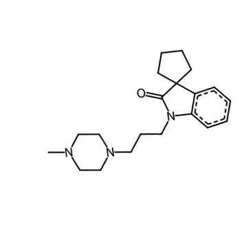 CN1CCN(CCCN2C(=O)C3(CCCC3)c3ccccc32)CC1